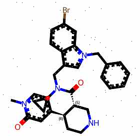 Cn1ccc([C@@H]2CCNC[C@H]2C(=O)N(Cc2cn(Cc3ccccc3)c3cc(Br)ccc23)C2CC2)cc1=O